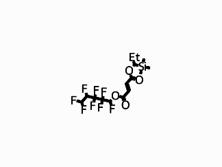 CCC(OC(=O)C=CC(=O)OC(F)C(F)(F)C(F)(F)C(F)C(F)F)[Si](C)(C)C